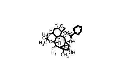 CC(=O)O[C@@]12CO[C@@H]1C[C@@H]1OC(C)(C)O[C@H]3[C@H](C)C4=C(C)[C@@H](O)C[C@@](O)([C@@H](OC(=O)c5ccccc5)[C@H]2[C@@]13C)C4(C)C